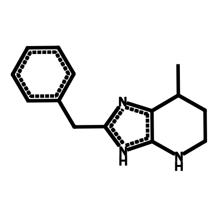 CC1CCNc2[nH]c(Cc3ccccc3)nc21